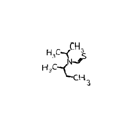 CCC(C)N(C=S)C(C)C